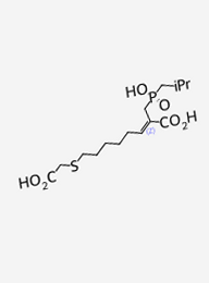 CC(C)CP(=O)(O)C/C(=C\CCCCCSCC(=O)O)C(=O)O